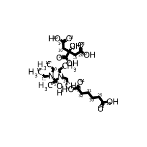 CCN(CC)C(C)(O)N(CC)CC.O=C(O)CC(O)(CC(=O)O)C(=O)O.O=C(O)CCCCC(=O)O